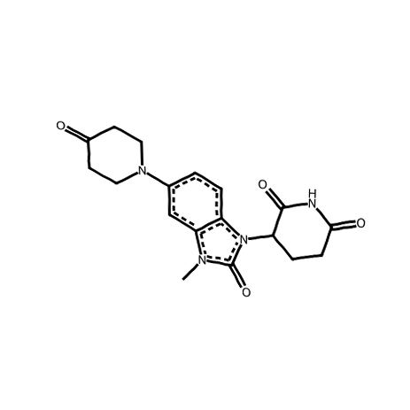 Cn1c(=O)n(C2CCC(=O)NC2=O)c2ccc(N3CCC(=O)CC3)cc21